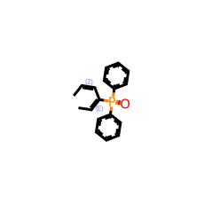 C/C=C\C(=C/C)P(=O)(c1ccccc1)c1ccccc1